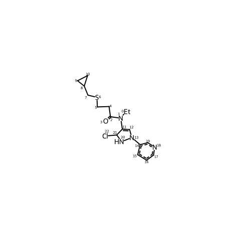 CCN(C(=O)CCSCC1CC1)C1=CN(c2cccnc2)NC1Cl